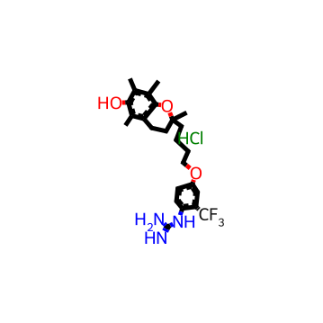 Cc1c(C)c2c(c(C)c1O)CCC(C)(CCCCOc1ccc(NC(=N)N)c(C(F)(F)F)c1)O2.Cl